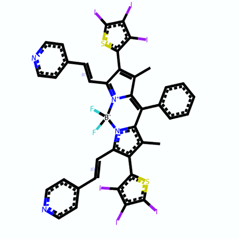 CC1=C(c2sc(I)c(I)c2I)C(/C=C/c2ccncc2)=[N+]2C1=C(c1ccccc1)c1c(C)c(-c3sc(I)c(I)c3I)c(/C=C/c3ccncc3)n1[B-]2(F)F